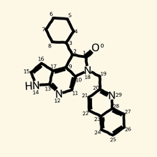 O=C1C(C2CCCCC2)c2c(cnc3[nH]ccc23)N1Cc1ccc2ccccc2n1